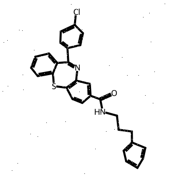 O=C(NCCCc1ccccc1)c1ccc2c(c1)N=C(c1ccc(Cl)cc1)c1ccccc1S2